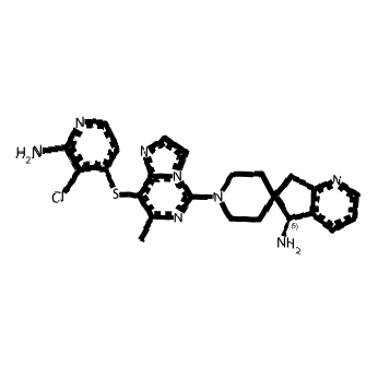 Cc1nc(N2CCC3(CC2)Cc2ncccc2[C@H]3N)n2ccnc2c1Sc1ccnc(N)c1Cl